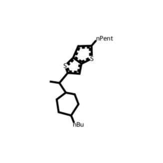 CCCCCc1cc2sc(C(C)C3CCC(CCCC)CC3)cc2s1